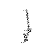 CCOC(=O)c1ccc2[nH]c(SCc3cccc(SCCOCCOCCOCCOCCOC)c3C)nc2c1